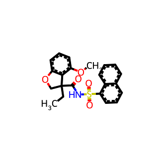 CCC1(C(=O)NS(=O)(=O)c2cccc3ccccc23)COc2cccc(OC)c21